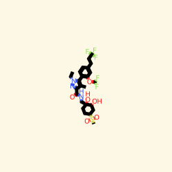 CCn1nc(C(=O)NCC2(O)CCC(S(C)(=O)=O)CC2O)c(C)c1-c1ccc(CCC(F)(F)F)cc1OC(F)F